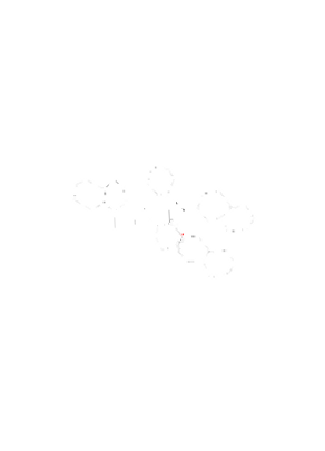 CC1(C)c2cc3ccccc3cc2-c2cccc(N(c3ccccc3)c3ccc4ccccc4c3-c3cccc4ccccc34)c21